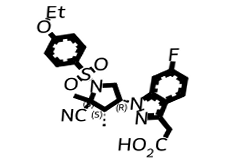 CCOc1ccc(S(=O)(=O)N2C[C@H](n3nc(CC(=O)O)c4ccc(F)cc43)[C@H](C)[C@@]2(C)C#N)cc1